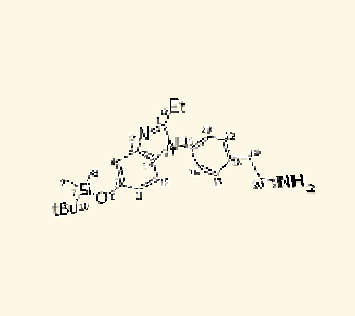 CCc1nc2cc(O[Si](C)(C)C(C)(C)C)ccc2n1-c1ccc(CCN)cc1